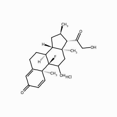 C[C@@H]1C[C@H]2[C@@H]3CCC4=CC(=O)C=C[C@]4(C)[C@@]3(F)C(O)C[C@]2(C)[C@H]1C(=O)CO.Cl